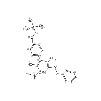 Cc1c(SCc2cccnc2)nc(NI)c(C#N)c1-c1ccc(OCC(C)(C)O)cc1